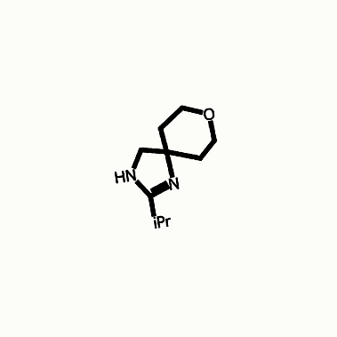 CC(C)C1=NC2(CCOCC2)CN1